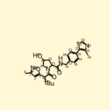 Cc1cc(C(C(=O)N2CC(O)CC2C(=O)NCc2ccc(-c3scnc3C)cc2)C(C)(C)C)on1